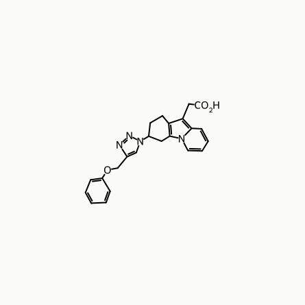 O=C(O)Cc1c2c(n3ccccc13)CC(n1cc(COc3ccccc3)nn1)CC2